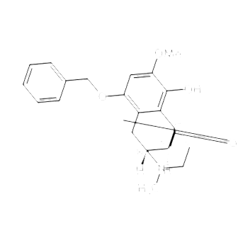 COc1cc(OCc2ccccc2)c2c(c1O)[C@]13CCN(C)[C@H](C2)[C@@H]1CCC(=O)C3